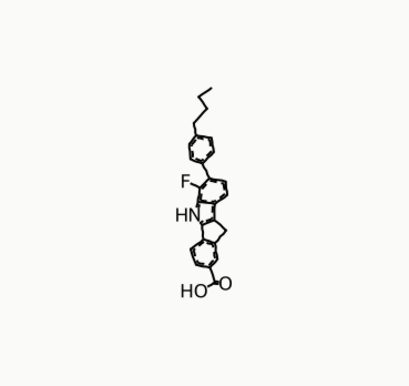 CCCCc1ccc(-c2ccc3c4c([nH]c3c2F)-c2ccc(C(=O)O)cc2C4)cc1